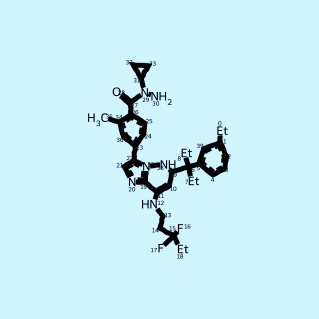 CCc1cccc(C(CC)(CC)C2C=C(NCCC(F)(F)CC)c3ncc(-c4ccc(C(=O)N(N)C5CC5)c(C)c4)n3N2)c1